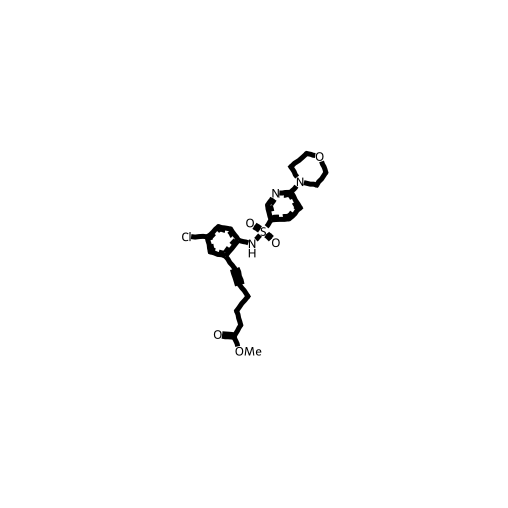 COC(=O)CCCC#Cc1cc(Cl)ccc1NS(=O)(=O)c1ccc(N2CCOCC2)nc1